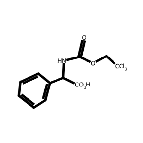 O=C(NC(C(=O)O)c1ccccc1)OCC(Cl)(Cl)Cl